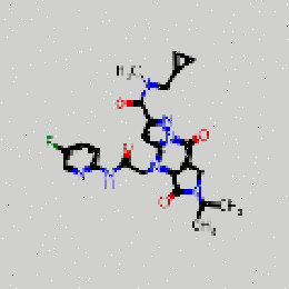 CC(C)N1Cc2c(n(CC(=O)Nc3ccc(F)cn3)c3cc(C(=O)N(C)CC4CC4)nn3c2=O)C1=O